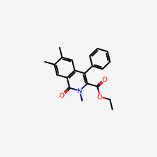 CCOC(=O)c1c(-c2ccccc2)c2cc(C)c(C)cc2c(=O)n1C